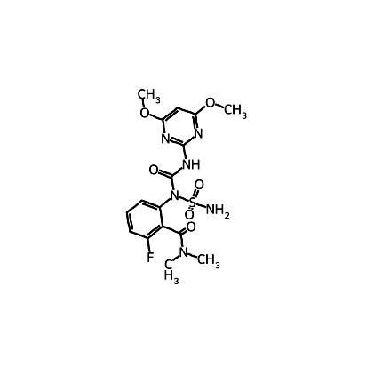 COc1cc(OC)nc(NC(=O)N(c2cccc(F)c2C(=O)N(C)C)S(N)(=O)=O)n1